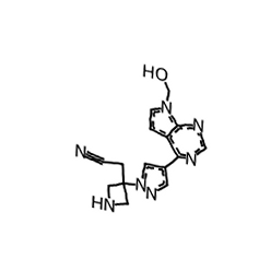 N#CCC1(n2cc(-c3ncnc4c3ccn4CO)cn2)CNC1